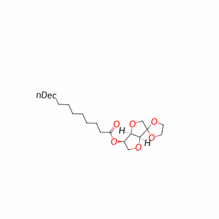 CCCCCCCCCCCCCCCCCC(=O)O[C@@H]1CO[C@H]2[C@@H]1OCC21OCCO1